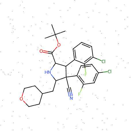 CC(C)(C)OC(=O)C1NC(CC2CCOCC2)C(C#N)(c2ccc(Cl)cc2F)C1c1cccc(Cl)c1F